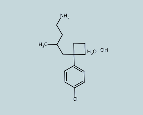 CC(CCN)CC1(c2ccc(Cl)cc2)CCC1.Cl.O